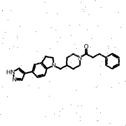 O=C(CCc1ccccc1)N1CCC(CN2CCc3cc(-c4cn[nH]c4)ccc32)CC1